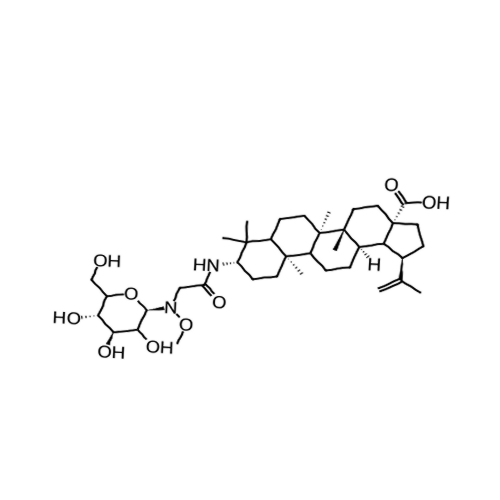 C=C(C)[C@@H]1CC[C@]2(C(=O)O)CC[C@]3(C)[C@H](CCC4[C@@]5(C)CC[C@H](NC(=O)CN(OC)[C@@H]6OC(CO)[C@@H](O)[C@H](O)C6O)C(C)(C)C5CC[C@]43C)C12